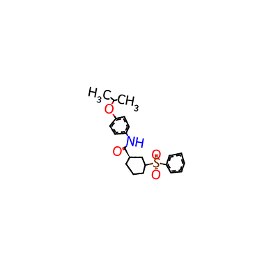 CC(C)Oc1ccc(NC(=O)[C@@H]2CCCC(S(=O)(=O)c3ccccc3)C2)cc1